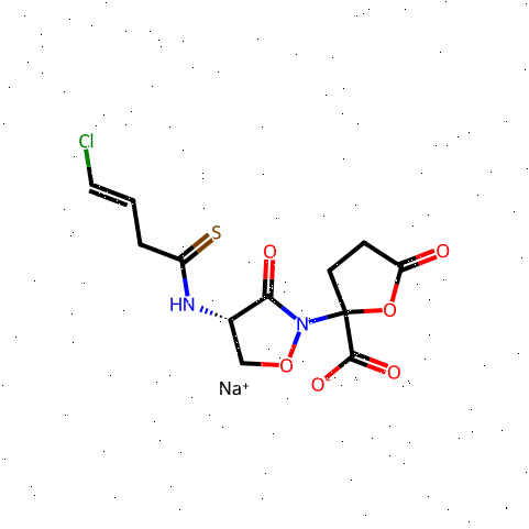 O=C1CCC(C(=O)[O-])(N2OC[C@H](NC(=S)CC=CCl)C2=O)O1.[Na+]